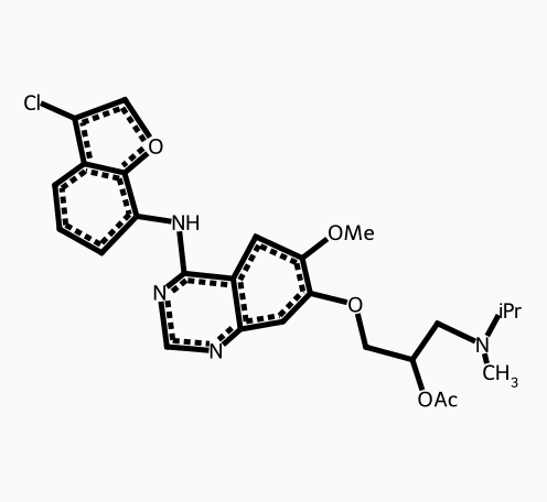 COc1cc2c(Nc3cccc4c(Cl)coc34)ncnc2cc1OCC(CN(C)C(C)C)OC(C)=O